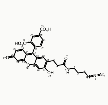 [N-]=[N+]=NCCCNC(=O)CCc1cc2c(-c3ccc(C(=O)O)cc3C(=O)O)c3ccc(=O)cc-3oc2cc1O